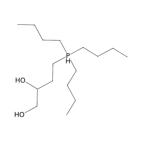 CCCC[PH](CCCC)(CCCC)CCC(O)CO